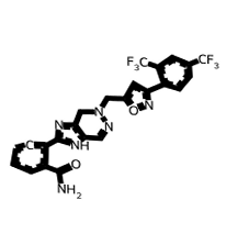 NC(=O)c1ccccc1-c1nc2c([nH]1)C=NN(Cc1cc(-c3ccc(C(F)(F)F)cc3C(F)(F)F)no1)C2